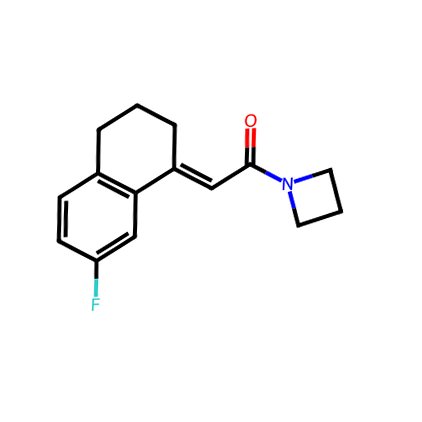 O=C(C=C1CCCc2ccc(F)cc21)N1CCC1